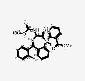 COC(=O)c1cccnc1[N+]1(C)C(=O)C(NC(=O)OC(C)(C)C)N=C(c2ccccc2F)c2ccccc21